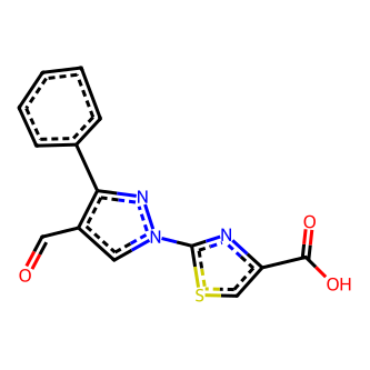 O=Cc1cn(-c2nc(C(=O)O)cs2)nc1-c1ccccc1